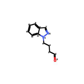 O=CCCCn1ncc2ccccc21